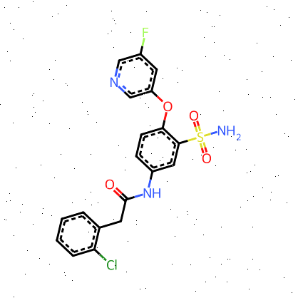 NS(=O)(=O)c1cc(NC(=O)Cc2ccccc2Cl)ccc1Oc1cncc(F)c1